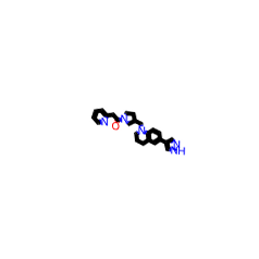 O=C(Cc1ccccn1)N1CCC(CN2CCCc3cc(-c4cn[nH]c4)ccc32)C1